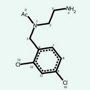 CC(=O)N(CCN)Cc1ccc(Cl)cc1Cl